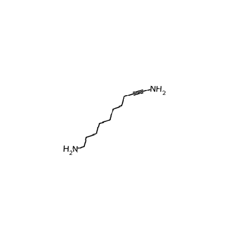 NC#CCCCCCCCCN